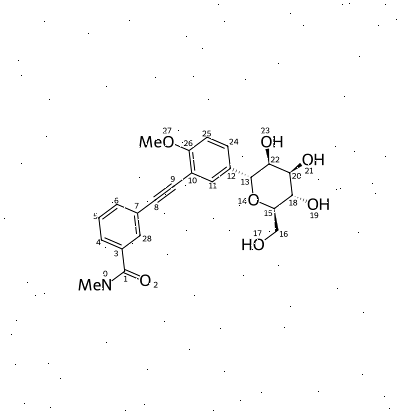 CNC(=O)c1cccc(C#Cc2cc([C@H]3O[C@H](CO)[C@@H](O)[C@H](O)[C@@H]3O)ccc2OC)c1